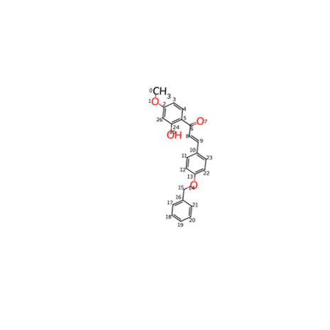 COc1ccc(C(=O)/C=C/c2ccc(OCc3ccccc3)cc2)c(O)c1